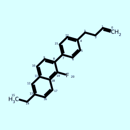 C=CCCc1ccc(-c2ccc3cc(CC)ccc3c2F)cc1